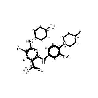 [C-]#[N+]c1cc(Nc2nc(N[C@H]3CC[C@H](O)CC3)c(CC)nc2C(N)=O)ccc1N1CCN(C)CC1